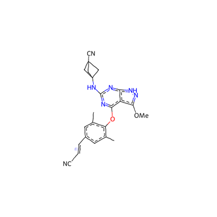 COc1n[nH]c2nc(NC34CC(C#N)(C3)C4)nc(Oc3c(C)cc(/C=C/C#N)cc3C)c12